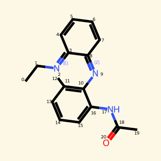 CC/N=C1\C=CC=C\C1=N\c1c(C)cccc1NC(C)=O